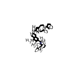 C=NC1=C(/C(C)=C(\C)c2cc3cc(Nc4cc5n(n4)CC(=O)N(C4CCOC4)CC5)ncc3c(N)c2F)NCCO1